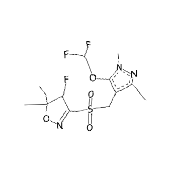 Cc1nn(C)c(OC(F)F)c1CS(=O)(=O)C1=NOC(C)(C)C1F